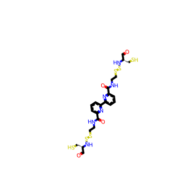 O=C[C@H](CS)NSSCCNC(=O)c1cccc(-c2cccc(C(=O)NCCSSN[C@H](C=O)CS)n2)n1